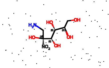 NC[C@](O)([C@@H](O)[C@H](O)[C@H](O)CO)[N+](=O)[O-]